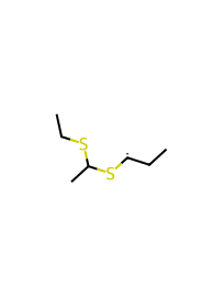 CC[CH]SC(C)SCC